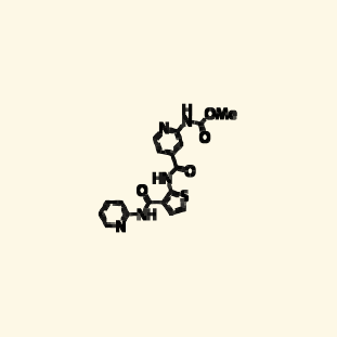 COC(=O)Nc1cc(C(=O)Nc2sccc2C(=O)Nc2ccccn2)ccn1